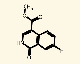 COC(=O)c1c[nH]c(=O)c2cc(F)ccc12